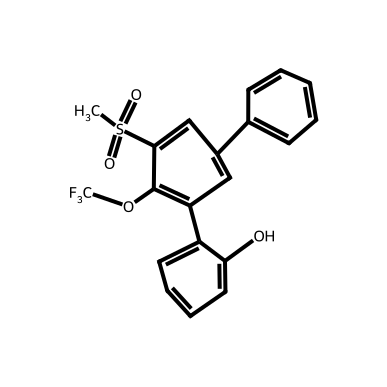 CS(=O)(=O)c1cc(-c2ccccc2)cc(-c2ccccc2O)c1OC(F)(F)F